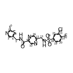 Cc1ncc(CNC(=O)c2cnc(CNS(=O)(=O)c3ccc(F)c(Cl)c3)cn2)s1